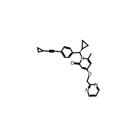 Cc1cc(OCc2ncccn2)cc(=O)n1[C@@H](c1ccc(C#CC2CC2)cc1)C1CC1